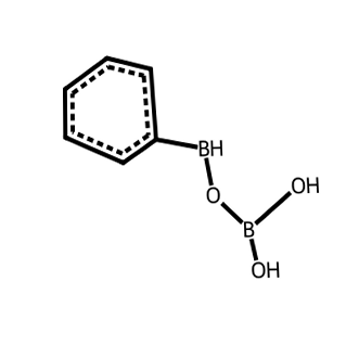 OB(O)OBc1ccccc1